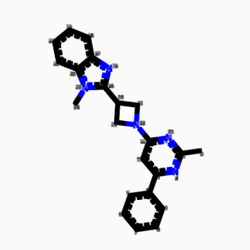 Cc1nc(-c2ccccc2)cc(N2CC(c3nc4ccccc4n3C)C2)n1